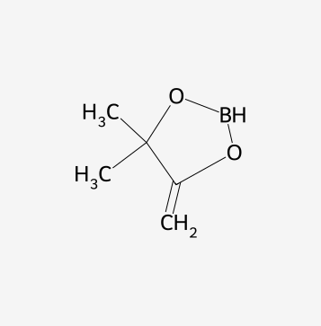 C=C1OBOC1(C)C